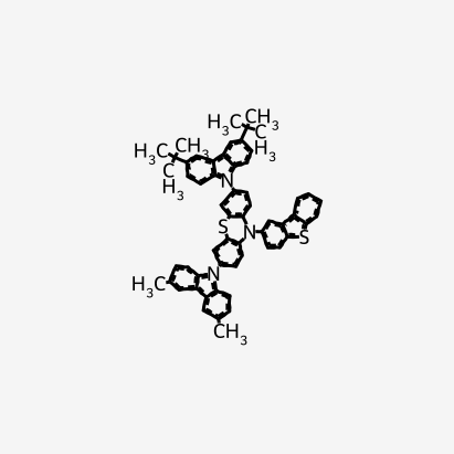 Cc1ccc2c(c1)c1cc(C)ccc1n2-c1ccc2c(c1)Sc1cc(-n3c4ccc(C(C)(C)C)cc4c4cc(C(C)(C)C)ccc43)ccc1N2c1ccc2sc3ccccc3c2c1